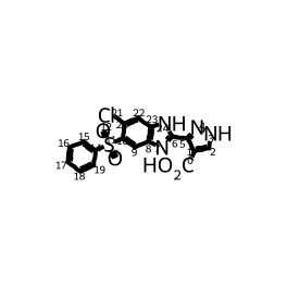 O=C(O)c1c[nH]nc1-c1nc2cc(S(=O)(=O)c3ccccc3)c(Cl)cc2[nH]1